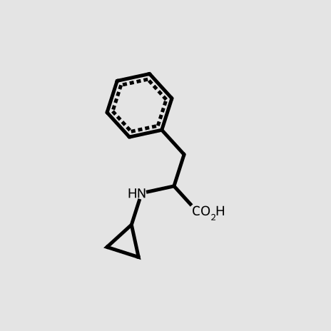 O=C(O)C(Cc1ccccc1)NC1CC1